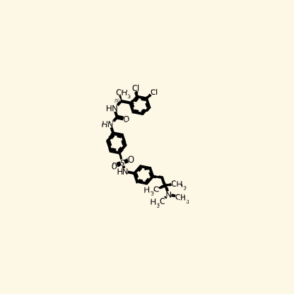 C[C@H](NC(=O)Nc1ccc(S(=O)(=O)Nc2ccc(CC(C)(C)N(C)C)cc2)cc1)c1cccc(Cl)c1Cl